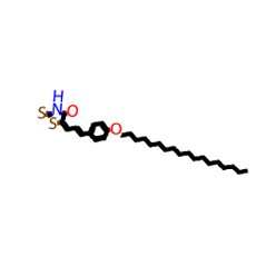 CCCCCCCCCCCCCCCCCCOc1ccc(C=CC=C2SC(=S)NC2=O)cc1